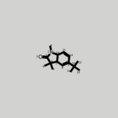 CN1C(=O)C(C)(C)C2C=C(C(C)(C)C)C=CC21